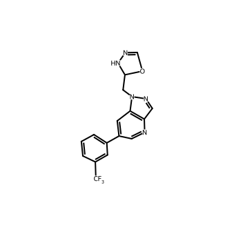 FC(F)(F)c1cccc(-c2cnc3cnn(CC4NN=CO4)c3c2)c1